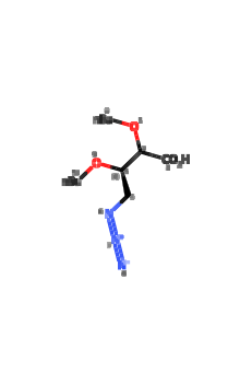 CCCCOC(C(=O)O)[C@@H](CN=[N+]=[N-])OCCCC